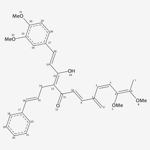 C=C(/C=C\C(OC)=C(/C)OC)/C=C/C(=O)/C(C/C=C/c1ccccc1)=C(O)/C=C/c1ccc(OC)c(OC)c1